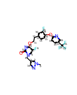 Cn1cc(Cn2cc(F)c(OCCc3ccc(Oc4ccc(C(F)(F)F)cn4)c(F)c3)nc2=O)cn1